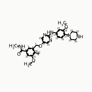 CNC(=O)c1cc(COc2cnc(Nc3ccc(N4CCNCC4)c(OC)c3)nc2)c(F)c(OC)c1